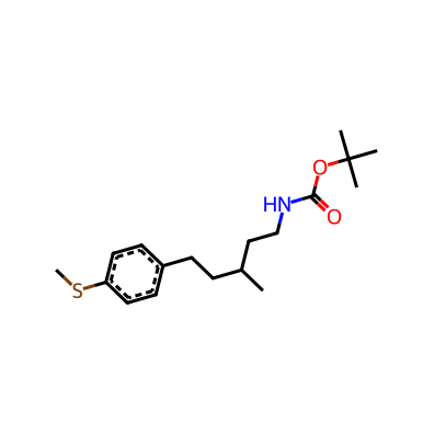 CSc1ccc(CCC(C)CCNC(=O)OC(C)(C)C)cc1